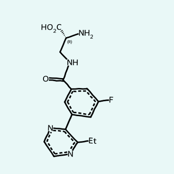 CCc1nccnc1-c1cc(F)cc(C(=O)NC[C@@H](N)C(=O)O)c1